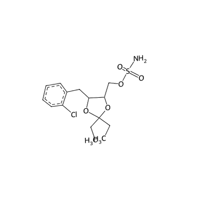 CCC1(CC)OC(COS(N)(=O)=O)C(Cc2ccccc2Cl)O1